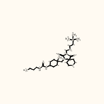 CCCCNC(=O)NC1CCC(C)(CN2C(=O)N(COCC[Si](C)(C)C)C(=O)C23CCSCC3)CC1